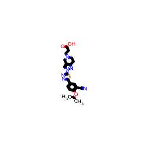 CC(C)Oc1ccc(-c2nnc(-n3cc4c(n3)CCN(CCC(=O)O)C4)s2)cc1C#N